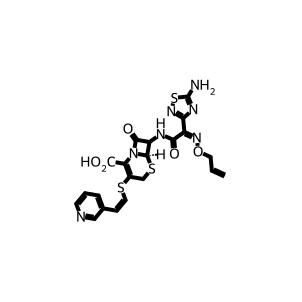 C=CCO/N=C(\C(=O)NC1C(=O)N2C(C(=O)O)=C(S/C=C\c3cccnc3)CS[C@H]12)c1nsc(N)n1